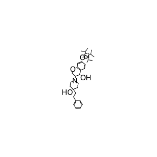 CC(C)[Si](Oc1ccc2c(c1)OC[C@H](N1CCC(O)(CCc3ccccc3)CC1)[C@@H]2O)(C(C)C)C(C)C